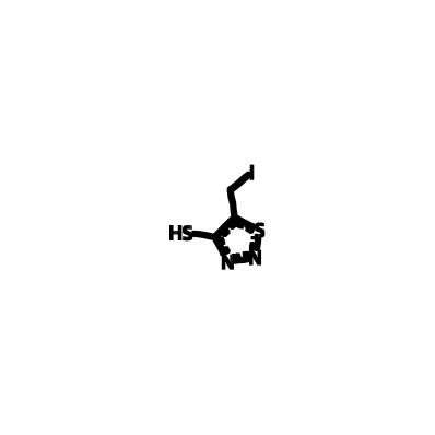 Sc1nnsc1CI